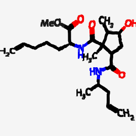 C=CCCC[C@H](NC(=O)C1(C)C(C(=O)NC(C)CC=C)CC(O)C1C)C(=O)OC